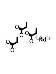 CCC(=O)[O-].CCC(=O)[O-].CCC(=O)[O-].[La].[Nd+3]